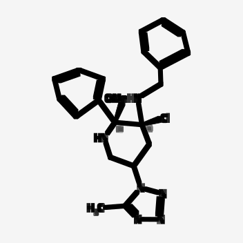 CO[C@]1(c2ccccc2)NCC(n2nnnc2C)C[C@@]1(Cl)NCc1ccccc1